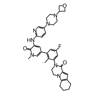 [CH2]c1c(-c2cc(Nc3ccc(N4CCN(C5COC5)CC4)cn3)c(=O)n(C)c2)cc(F)cc1N1CCn2c(cc3c2CCCC3)C1=O